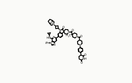 CC(C)n1cnc2cc(-c3ccc4c(c3)N(C3CC(N5CC6CCC(C5)O6)C3)C(=O)C43CCN(C(=O)C4(C)CCN(C(=O)C5CCN(c6ccc(C7CCC(=O)NC7=O)cc6)CC5)CC4)CC3)nc(NC3CC3)c21